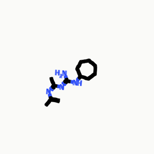 C=C(C)/N=C(C)\N=C(/N)NC1CCCCCC1